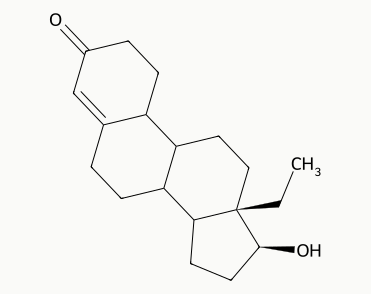 CC[C@]12CCC3C4CCC(=O)C=C4CCC3C1CC[C@@H]2O